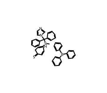 C[SiH](C1=CCC(=S)C=C1)C(c1ccccc1)(c1ccccc1)n1ccnc1.c1ccc(B(c2ccccc2)c2ccccc2)cc1